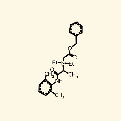 CC[N+](CC)(CC(=O)OCc1ccccc1)C(C)C(=O)Nc1c(C)cccc1C